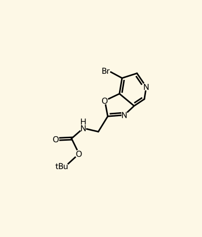 CC(C)(C)OC(=O)NCc1nc2cncc(Br)c2o1